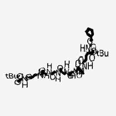 CC(C)(C)OC(=O)NOCCNC(=O)CNC(=O)CNC(=O)CNC(=O)CNC(=O)C(CO)NC(=O)CCC(NC(=O)OCc1ccccc1)C(=O)OC(C)(C)C